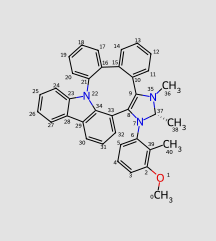 COc1cccc(N2c3c(c4ccccc4c4ccccc4n4c5ccccc5c5cccc3c54)N(C)[C@@H]2C)c1C